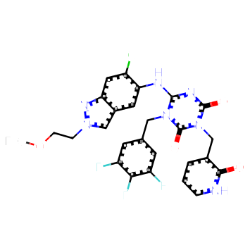 O=c1[nH]cccc1Cn1c(=O)nc(Nc2cc3cn(CCOC(F)(F)F)nc3cc2Cl)n(Cc2cc(F)c(F)c(F)c2)c1=O